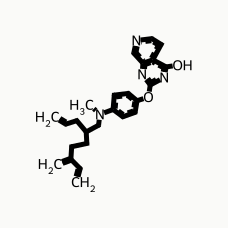 C=CCC(CCC(=C)C=C)CN(C)c1ccc(Oc2nc(O)c3ccncc3n2)cc1